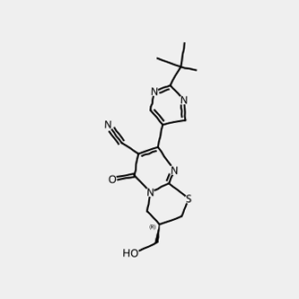 CC(C)(C)c1ncc(-c2nc3n(c(=O)c2C#N)C[C@H](CO)CS3)cn1